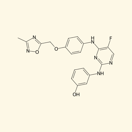 Cc1noc(COc2ccc(Nc3nc(Nc4cccc(O)c4)ncc3F)cc2)n1